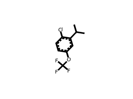 C[C](C)c1cc(OC(F)(F)F)ccc1Cl